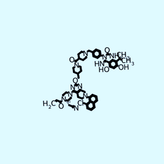 C=CC(=O)N1CCN(c2nc(OCC3CCN(C(=O)C4CCN(Cc5ccc(N(C(=N)c6cc(C(C)C)c(O)cc6O)C(N)=O)cc5)CC4)CC3)nc3c2CCN(c2cccc4cccc(Cl)c24)C3)C[C@@H]1CC#N